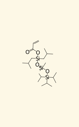 C=CC(=O)O[Si](CC(C)C)(CC(C)C)O[Si](C)(C)O[Si](C(C)C)(C(C)C)C(C)C